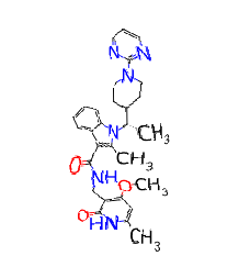 COc1cc(C)[nH]c(=O)c1CNC(=O)c1c(C)n([C@@H](C)C2CCN(c3ncccn3)CC2)c2ccccc12